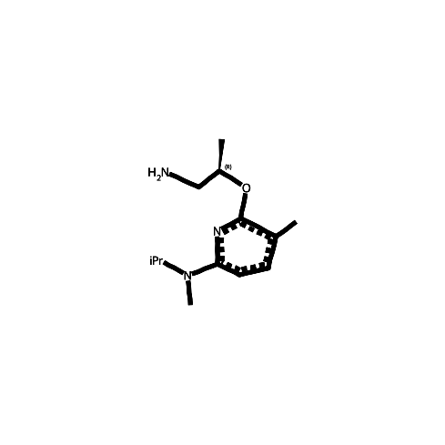 Cc1ccc(N(C)C(C)C)nc1O[C@H](C)CN